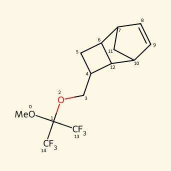 COC(OCC1CC2C3C=CC(C3)C12)(C(F)(F)F)C(F)(F)F